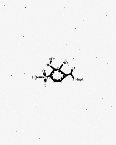 CCCCCCCC(CC)c1ccc(S(N)(=O)=O)c(NCC)c1[N+](=O)[O-]